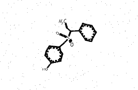 CC(c1ccccc1)S(=O)(=O)c1ccc(O)cc1